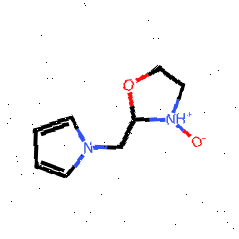 [O-][NH+]1CCOC1Cn1cccc1